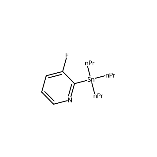 CC[CH2][Sn]([CH2]CC)([CH2]CC)[c]1ncccc1F